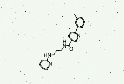 Cc1cccc(-c2ccc(C(=O)NCCCNc3ccccn3)cn2)c1